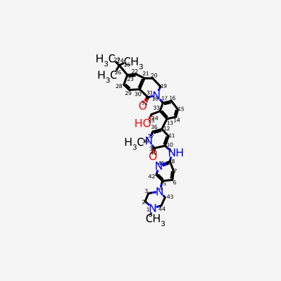 CN1CCN(c2ccc(Nc3cc(-c4cccc(N5CCc6cc(C(C)(C)C)ccc6C5=O)c4CO)cn(C)c3=O)nc2)CC1